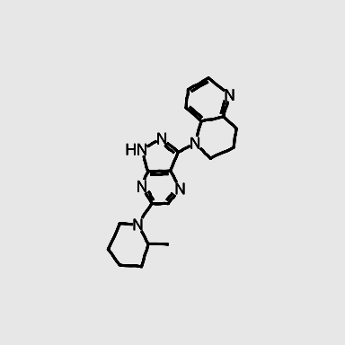 CC1CCCCN1c1cnc2c(N3CCCc4ncccc43)n[nH]c2n1